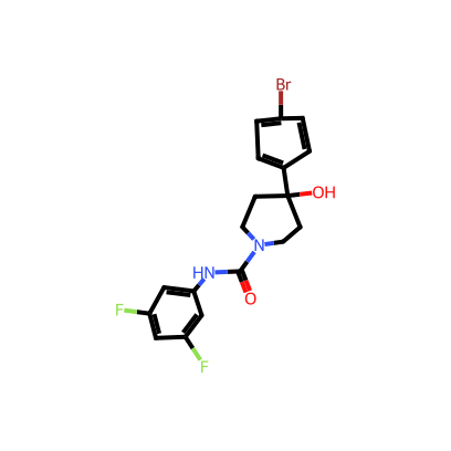 O=C(Nc1cc(F)cc(F)c1)N1CCC(O)(c2ccc(Br)cc2)CC1